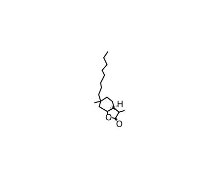 CCCCCCCCC1(C)CC[C@@H]2C(C1)OC(=O)C2C